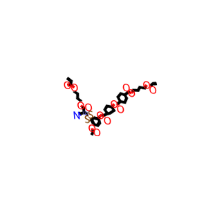 C=CC(=O)OCCCCOC(=O)/C(C#N)=C1/Sc2c(OC(C)=O)ccc(OC(=O)C3CCC(OC(=O)C4CCC(C(=O)OCCCCOC(=O)C=C)CC4)CC3)c2S1